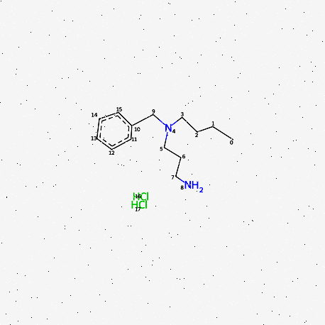 CCCCN(CCCN)Cc1ccccc1.Cl.Cl